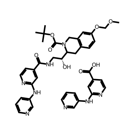 COCOc1ccc2c(c1)CN(C(=O)OC(C)(C)C)C([C@H](O)CNC(=O)c1ccnc(Nc3cccnc3)c1)C2.O=C(O)c1ccnc(Nc2cccnc2)c1